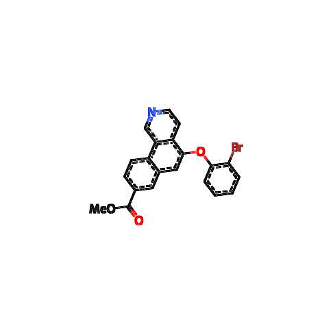 COC(=O)c1ccc2c(c1)cc(Oc1ccccc1Br)c1ccncc12